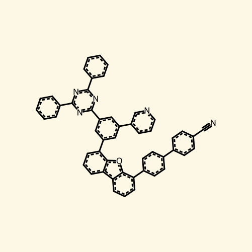 N#Cc1ccc(-c2ccc(-c3cccc4c3oc3c(-c5cc(-c6cccnc6)cc(-c6nc(-c7ccccc7)nc(-c7ccccc7)n6)c5)cccc34)cc2)cc1